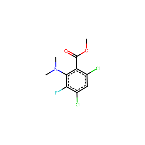 COC(=O)c1c(Cl)cc(Cl)c(F)c1N(C)C